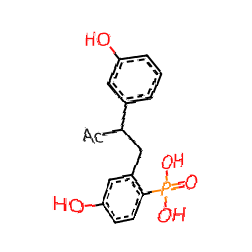 CC(=O)C(Cc1cc(O)ccc1P(=O)(O)O)c1cccc(O)c1